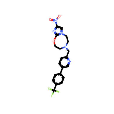 O=[N+]([O-])c1cn2c(n1)OCCN(Cc1ccc(-c3ccc(C(F)(F)F)cc3)cn1)CC2